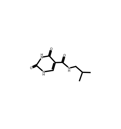 CC(C)CNC(=O)c1c[nH]c(=O)[nH]c1=O